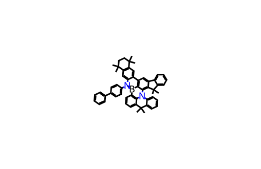 CC1(C)CCC(C)(C)c2cc3c(cc21)-c1cc2c(c4c1B(c1cccc5c1N4c1ccccc1C5(C)C)N3c1ccc(-c3ccccc3)cc1)C(C)(C)c1ccccc1-2